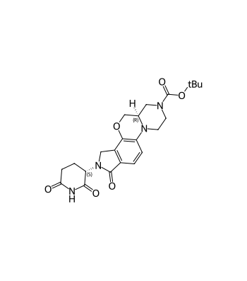 CC(C)(C)OC(=O)N1CCN2c3ccc4c(c3OC[C@H]2C1)CN([C@H]1CCC(=O)NC1=O)C4=O